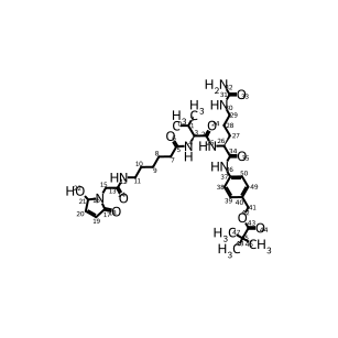 CC(C)[C@H](NC(=O)CCCCCNC(=O)CN1C(=O)C=CC1O)C(=O)N[C@@H](CCCNC(N)=O)C(=O)Nc1ccc(COC(=O)C(C)(C)C)cc1